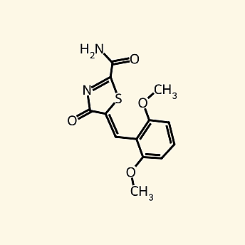 COc1cccc(OC)c1C=C1SC(C(N)=O)=NC1=O